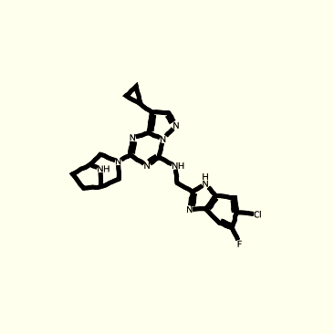 Fc1cc2nc(CNc3nc(N4CC5CCC(C4)N5)nc4c(C5CC5)cnn34)[nH]c2cc1Cl